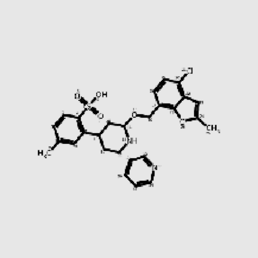 Cc1ccc(S(=O)(=O)O)c(C2CCNC(OCc3ccc(Cl)c4cc(C)oc34)C2)c1.c1ccncc1